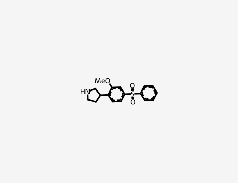 COc1cc(S(=O)(=O)c2ccccc2)ccc1C1CCNC1